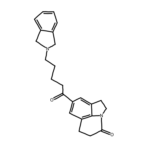 O=C(CCCCN1Cc2ccccc2C1)c1cc2c3c(c1)CCN3C(=O)CC2